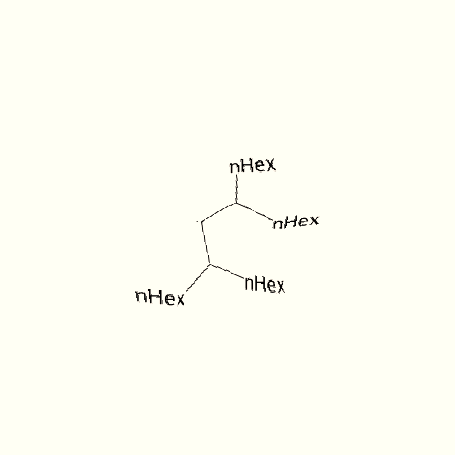 CCCCCCC([CH]C(CCCCCC)CCCCCC)CCCCCC